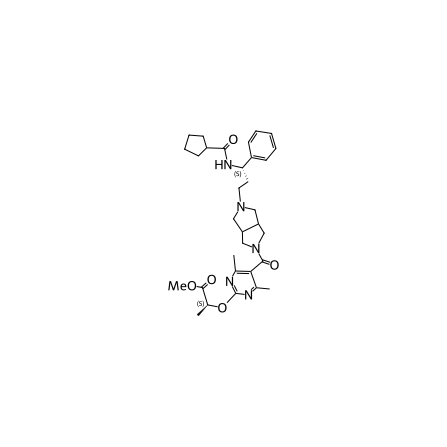 COC(=O)[C@H](C)Oc1nc(C)c(C(=O)N2CC3CN(CC[C@H](NC(=O)C4CCCC4)c4ccccc4)CC3C2)c(C)n1